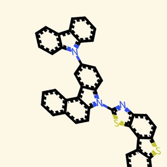 c1ccc2c(c1)ccc1c2c2cc(-n3c4ccccc4c4ccccc43)ccc2n1-c1nc2ccc3sc4ccccc4c3c2s1